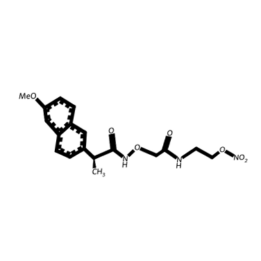 COc1ccc2cc([C@H](C)C(=O)NOCC(=O)NCCO[N+](=O)[O-])ccc2c1